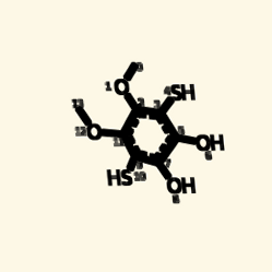 COc1c(S)c(O)c(O)c(S)c1OC